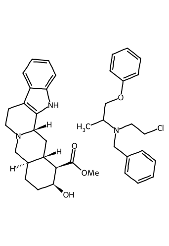 CC(COc1ccccc1)N(CCCl)Cc1ccccc1.COC(=O)[C@@H]1[C@H]2C[C@H]3c4[nH]c5ccccc5c4CCN3C[C@@H]2CC[C@@H]1O